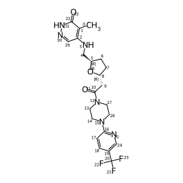 Cc1c(NC[C@H]2CC[C@H](CC(=O)N3CCN(c4ccc(C(F)(F)F)cn4)CC3)O2)cn[nH]c1=O